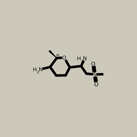 C[C@H]1OC(C(N)CS(C)(=O)=O)CCC1N